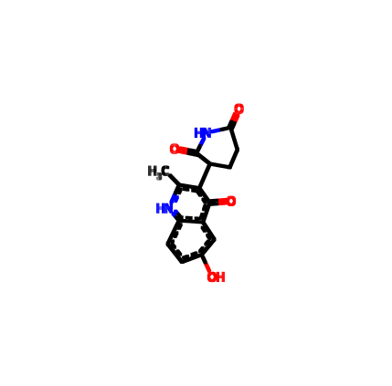 Cc1[nH]c2ccc(O)cc2c(=O)c1C1CCC(=O)NC1=O